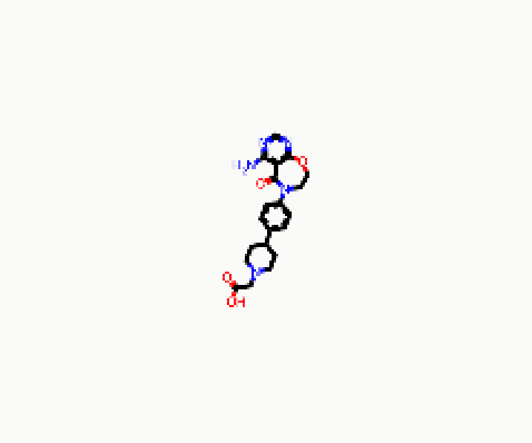 Nc1ncnc2c1C(=O)N(c1ccc(C3CCN(CC(=O)O)CC3)cc1)CCO2